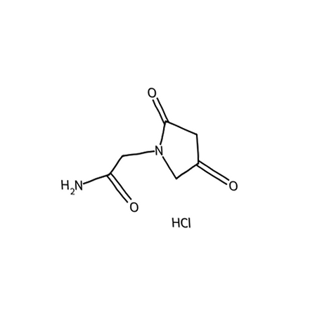 Cl.NC(=O)CN1CC(=O)CC1=O